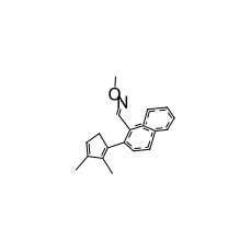 CON=Cc1c(C2=C(C)C(C)=CC2)ccc2ccccc12